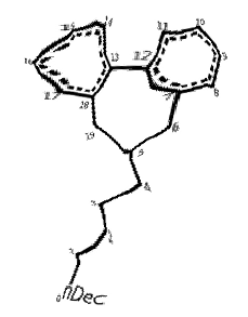 CCCCCCCCCCCCCCC1Cc2ccccc2-c2ccccc2C1